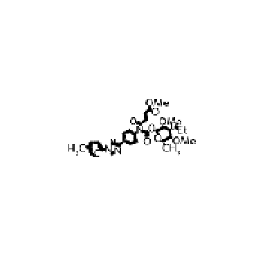 CCO[C@@H]1[C@@H](OC)[C@H](C)O[C@@H](OC(=O)N(C(=O)CCC(=O)OC)c2ccc(-c3ncn(-c4ccc(C)cc4)n3)cc2)[C@@H]1OC